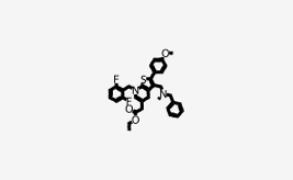 CCOC(=O)CC1=CN(Cc2c(F)cccc2F)c2sc(-c3ccc(OC)cc3)c(CN(C)Cc3ccccc3)c2C1